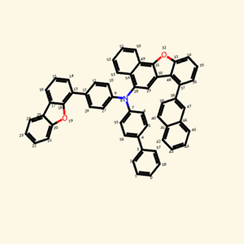 c1ccc(-c2ccc(N(c3ccc(-c4cccc5c4oc4ccccc45)cc3)c3cc4c(oc5cccc(-c6ccc7ccccc7c6)c54)c4ccccc34)cc2)cc1